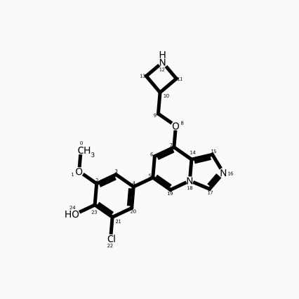 COc1cc(-c2cc(OCC3CNC3)c3cncn3c2)cc(Cl)c1O